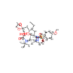 CCC(CCC1(C)OCCO1)CC(NS(=O)(=O)c1ccc(OC)cc1)[C@H](O)[C@H](Cc1ccccc1)N(C(=O)O)C(C)(C)C